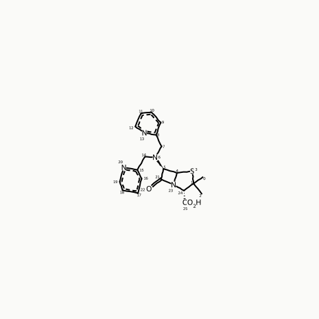 CC1(C)SC2[C@H](N(Cc3ccccn3)Cc3ccccn3)C(=O)N2[C@H]1C(=O)O